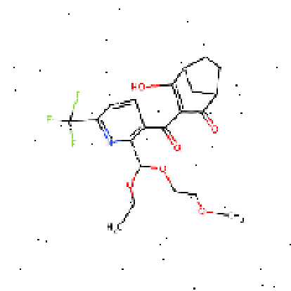 CCOC(OCCOC)c1nc(C(F)(F)F)ccc1C(=O)C1=C(O)C2CCC(C2)C1=O